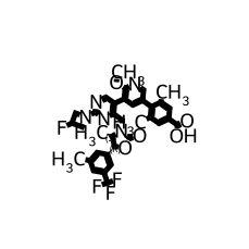 COc1ncc(-c2c(C)cc(C(=O)O)cc2C)cc1-c1cnc(N2CC(F)C2)nc1CN1C(=O)O[C@H](c2cc(C)cc(C(F)(F)F)c2)[C@@H]1C